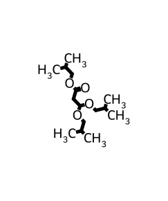 CC(C)COC(=O)CC(OCC(C)C)OCC(C)C